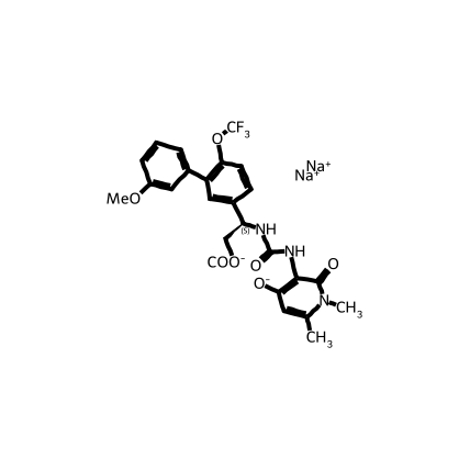 COc1cccc(-c2cc([C@H](CC(=O)[O-])NC(=O)Nc3c([O-])cc(C)n(C)c3=O)ccc2OC(F)(F)F)c1.[Na+].[Na+]